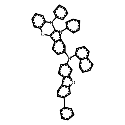 c1ccc(-c2ccc3c(c2)oc2cc(N(c4ccc5c6c(n(-c7ccccc7)c5c4)N(c4ccccc4)c4ccccc4O6)c4cccc5ccccc45)ccc23)cc1